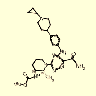 C[C@@H]1[C@H](NC(=O)OC(C)(C)C)CCCN1c1nnc(C(N)=O)c(Nc2ccc(C3CCN(C4CC4)CC3)cc2)n1